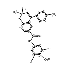 Cc1ccc(C2=CC(C)(C)Cc3ccc(C(=O)Nc4cc(F)c(C(=O)O)c(F)c4)cc32)cc1